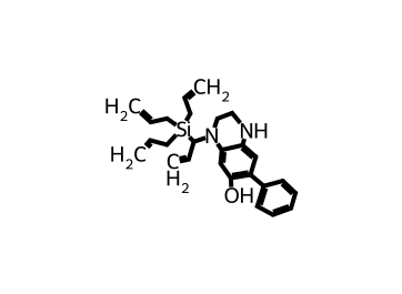 C=CC[Si](CC=C)(CC=C)C(C=C)N1CCNc2cc(-c3ccccc3)c(O)cc21